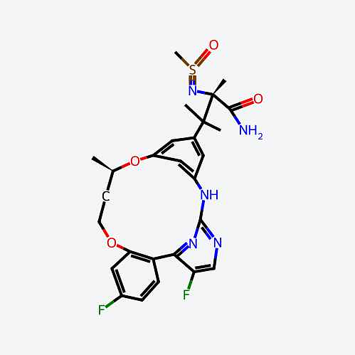 C[C@@H]1CCOc2cc(F)ccc2-c2nc(ncc2F)Nc2cc(cc(C(C)(C)[C@](C)(/N=[SH](/C)=O)C(N)=O)c2)O1